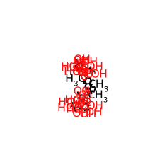 CC1=CC23CCC4C(C)(C(=O)OC5OC(CO)C(O)C(OC6OC(CO)C(O)C(O)C6O)C5OC5OC(CO)C(O)C(O)C5O)CCCC4(C)C2CCC1(OC1OC(CO)C(O)C(OC2OC(CO)C(O)C(O)C2O)C1OC1OC(CO)C(O)C(O)C1O)C3